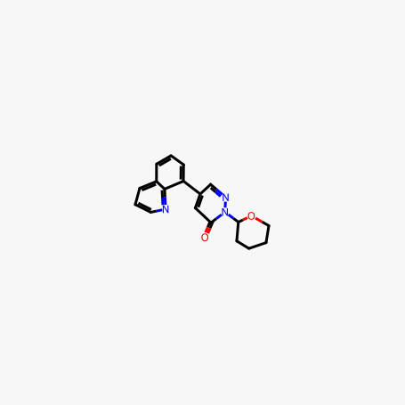 O=c1cc(-c2cccc3cccnc23)cnn1C1CCCCO1